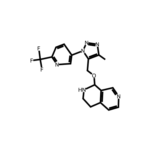 Cc1nnn(-c2ccc(C(F)(F)F)nc2)c1COC1NCCc2ccncc21